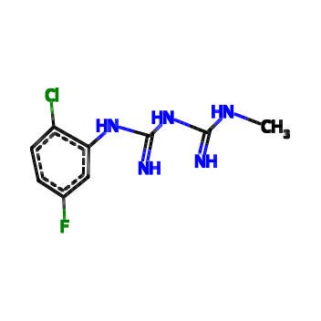 CNC(=N)NC(=N)Nc1cc(F)ccc1Cl